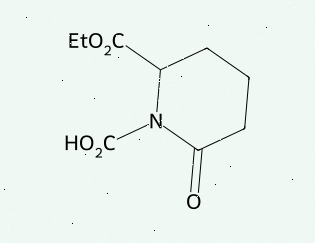 CCOC(=O)C1CCCC(=O)N1C(=O)O